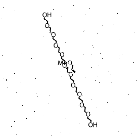 C=CCOC.OCCOCCOCCOCCOCCOCCOCCOCCOCCOCCOCCO